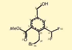 COC(=O)c1cc(CO)cc(C(F)F)c1CBr